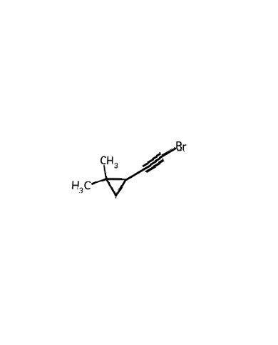 CC1(C)[CH]C1C#CBr